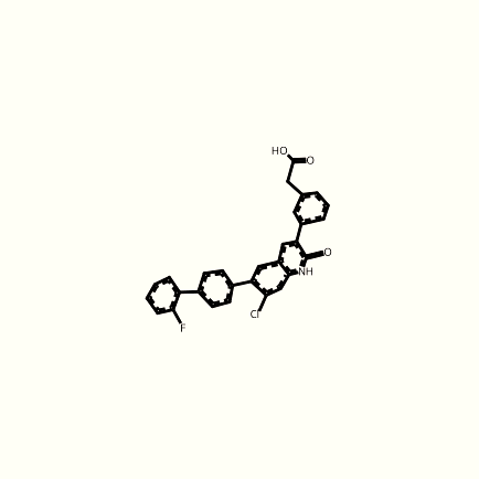 O=C(O)Cc1cccc(-c2cc3cc(-c4ccc(-c5ccccc5F)cc4)c(Cl)cc3[nH]c2=O)c1